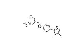 Cc1csc(-c2ccc(OC/C(=C/F)CN)cc2)n1